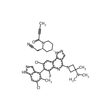 CC#CC(=O)N1CC[C@H](n2ncc3c(N4CC(C)(N(C)C)C4)nc4c(F)c(-c5c(C)c(Cl)cc6[nH]ncc56)c(Cl)cc4c32)C[C@H]1CC#N